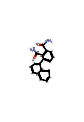 NC(=O)c1cccc(-c2cccc3ccccc23)c1C(N)=O